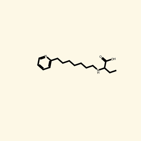 CCC(NCCCCCCCc1ccccn1)C(=O)O